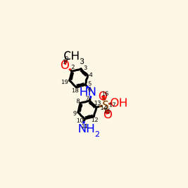 COc1ccc(Nc2ccc(N)cc2S(=O)(=O)O)cc1